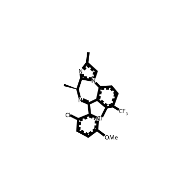 COc1ccc(Cl)c(C2=N[C@@H](C)c3nc(C)cn3-c3ccc(C(F)(F)F)c(Cl)c32)n1